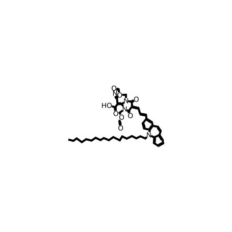 CCCCCCCCCCCCCCCCCCN1c2ccccc2C=Cc2cc(/C=C/C=c3c(=O)n(COC=O)c(=C(C#N)C(=O)O)n(COC=O)c3=O)ccc21